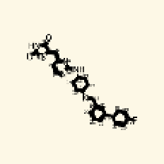 O=C1NC(=O)/C(=C/c2ccnc(N[C@H]3CC[C@H](/N=C/c4cccc(-c5ccc(F)cc5)c4)CC3)n2)S1